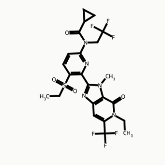 CCn1c(C(F)(F)F)cc2nc(-c3nc(N(CC(F)(F)F)C(=O)C4CC4)ccc3S(=O)(=O)CC)n(C)c2c1=O